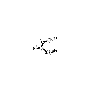 CCN(CC)OC=O.[NaH]